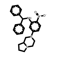 O=[N+]([O-])c1ccc(N2CCN3CCCC3C2)cc1NC(c1ccccc1)c1ccccc1